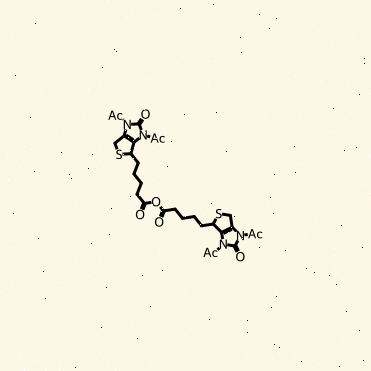 CC(=O)n1c2c(n(C(C)=O)c1=O)C(CCCCC(=O)OC(=O)CCCCC1SCc3c1n(C(C)=O)c(=O)n3C(C)=O)SC2